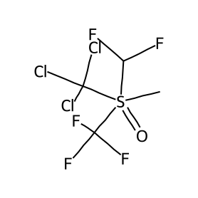 CS(=O)(C(F)F)(C(F)(F)F)C(Cl)(Cl)Cl